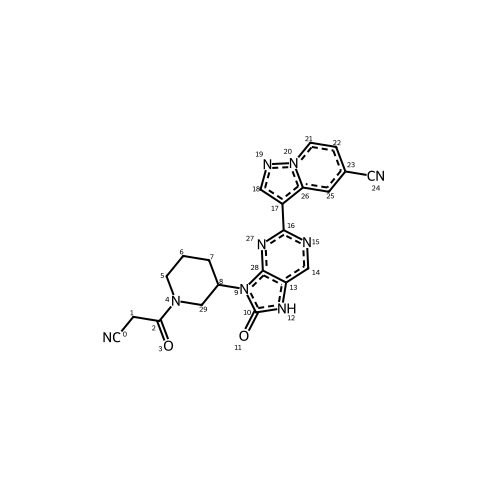 N#CCC(=O)N1CCCC(n2c(=O)[nH]c3cnc(-c4cnn5ccc(C#N)cc45)nc32)C1